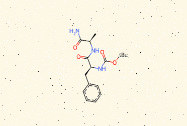 C[C@@H](NC(=O)[C@H](Cc1ccccc1)NC(=O)OC(C)(C)C)C(N)=O